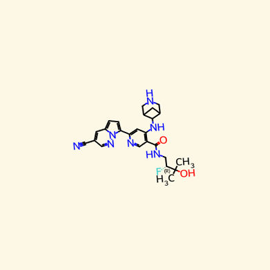 CC(C)(O)[C@H](F)CNC(=O)c1cnc(-c2ccc3cc(C#N)cnn23)cc1NC1C2CNCC1C2